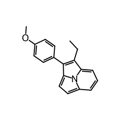 CCc1c(-c2ccc(OC)cc2)c2ccc3cccc1n32